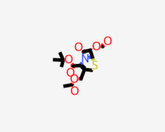 CC(=O)OCC1=C(C(=O)OC(C)(C)C)N2C(=O)[C@H](OC=O)C2SC1